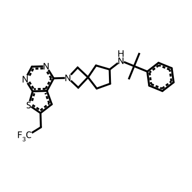 CC(C)(NC1CCC2(C1)CN(c1ncnc3sc(CC(F)(F)F)cc13)C2)c1ccccc1